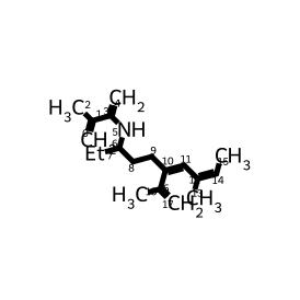 C=C(C)C(=C)NC(CC)CC/C(=C/C(C)=C\C)C(=C)C